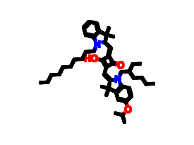 CCCCCCCCCC[N+]1=C(/C=C2/C(=O)C(/C=C3\N(CC(CC)CCCC)c4ccc(OC(C)C)cc4C3(C)C)=C2O)C(C)(C)c2ccccc21